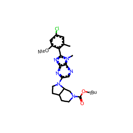 COc1cc(Cl)cc(C)c1-c1nc2nc(N3CCC4CCN(C(=O)OC(C)(C)C)CC43)cnc2n1C